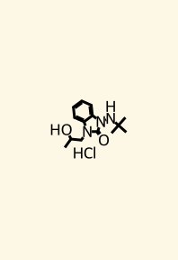 CC(O)Cn1c(=O)n(NC(C)(C)C)c2ccccc21.Cl